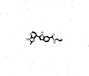 C=CCNC(=O)c1ccc2cc(-c3ccnc4[nH]c(C)nc34)[nH]c2c1